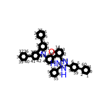 c1ccc(-c2ccc(C3=NC(c4cccc5oc6c(-n7c8ccc(-c9ccccc9)cc8c8cc(-c9ccccc9)ccc87)cccc6c45)NC(c4ccccc4)N3)cc2)cc1